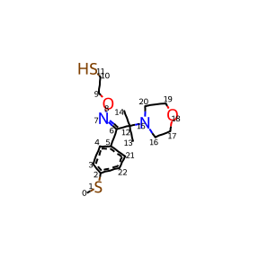 CSc1ccc(C(=NOCCS)C(C)(C)N2CCOCC2)cc1